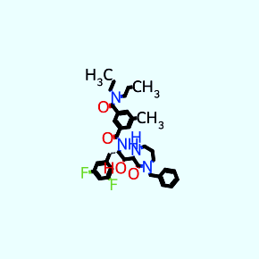 CCCN(CCC)C(=O)c1cc(C)cc(C(=O)N[C@@H](Cc2cc(F)cc(F)c2)[C@H](O)[C@@H]2NCCCN(Cc3ccccc3)C2=O)c1